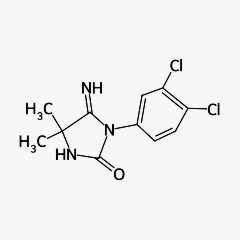 CC1(C)NC(=O)N(c2ccc(Cl)c(Cl)c2)C1=N